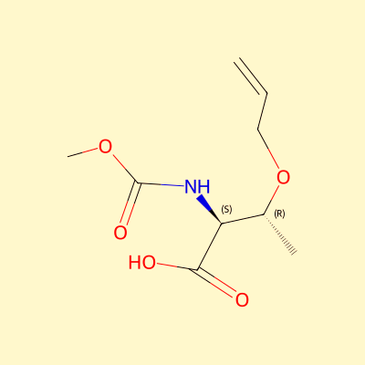 C=CCO[C@H](C)[C@H](NC(=O)OC)C(=O)O